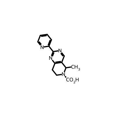 CC1c2cnc(-c3ccccn3)nc2CCN1C(=O)O